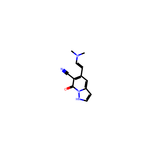 CN(C)/C=C/c1cc2cc[nH]n2c(=O)c1C#N